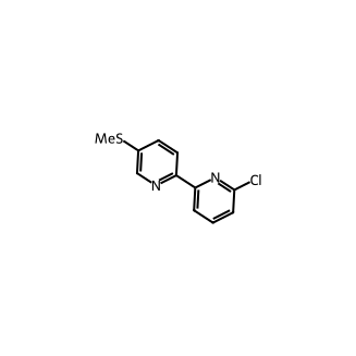 CSc1ccc(-c2cccc(Cl)n2)nc1